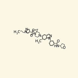 CCCn1cc(S(=O)(=O)N2CCN(c3cc4cnn(-c5cccc(C(=O)NC6CCOC6)c5)c4cc3C)CC23CC3)cn1